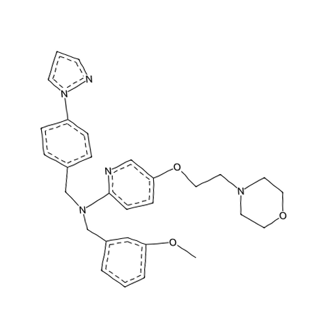 COc1cccc(CN(Cc2ccc(-n3cccn3)cc2)c2ccc(OCCN3CCOCC3)cn2)c1